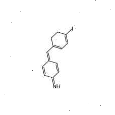 N=C1C=CC(=CC2=CC=C(I)CC2)C=C1